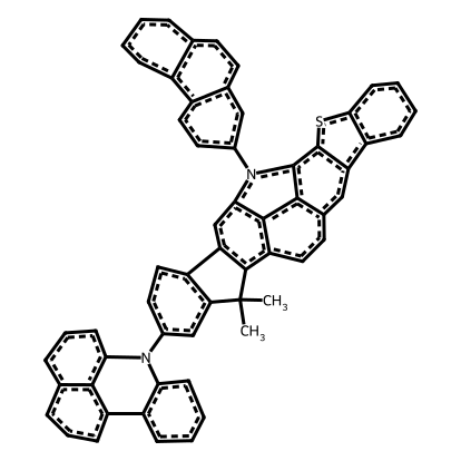 CC1(C)c2cc(N3c4ccccc4-c4cccc5cccc3c45)ccc2-c2cc3c4c(ccc5cc6c7ccccc7sc6c(c54)n3-c3ccc4c(ccc5ccccc54)c3)c21